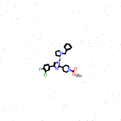 CC(C)(C)OC(=O)N1CCC(c2nc(-c3ccc(F)c(Cl)c3)cn2C[C@@H]2CCCN2Cc2ccccc2)CC1